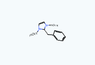 CCCCCCCCN1C=CN(CCCCCCCC)C1Cc1ccccc1